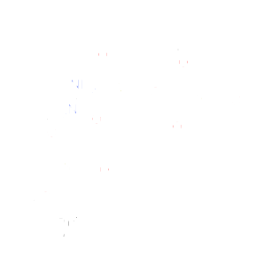 O=S([O-])[O-].O=S([O-])[O-].O=S([O-])[O-].[NH4+].[NH4+].[Pt+4]